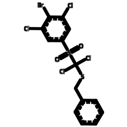 O=S(=O)(c1cc(Cl)c(Br)c(Cl)c1)C(Cl)(Cl)SCc1ccccc1